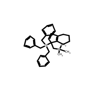 C[Si](C)(C)C[C]1([Ti]([CH2]c2ccccc2)([CH2]c2ccccc2)[CH2]c2ccccc2)C=CC2=C1CCCC2